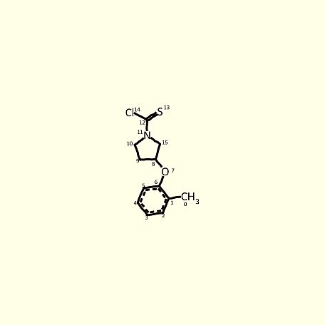 Cc1ccccc1OC1CCN(C(=S)Cl)C1